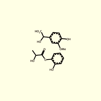 CC(O)C(=O)Oc1ccccc1O.COc1cc(C(O)C(=O)O)ccc1O